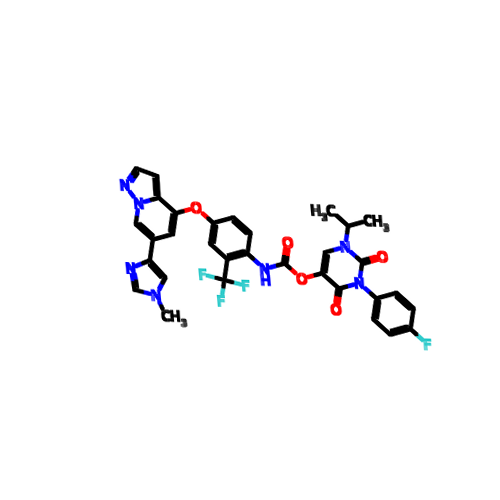 CC(C)n1cc(OC(=O)Nc2ccc(Oc3cc(-c4cn(C)cn4)cn4nccc34)cc2C(F)(F)F)c(=O)n(-c2ccc(F)cc2)c1=O